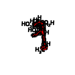 C/C1=C/c2ccccc2N(C(=O)CCC(=O)NCCOCCOCCOCCOCCC(=O)NC(CCC(=O)NCCCCCC(=O)N[C@@H](CCC(=O)N[C@H](C)CCCOP(=O)(O)NC(CCC(=O)O)C(=O)O)C(=O)O)C(=O)NC(CCCCNC(=O)CCCc2ccc(I)cc2)C(=O)O)Cc2ccccc21